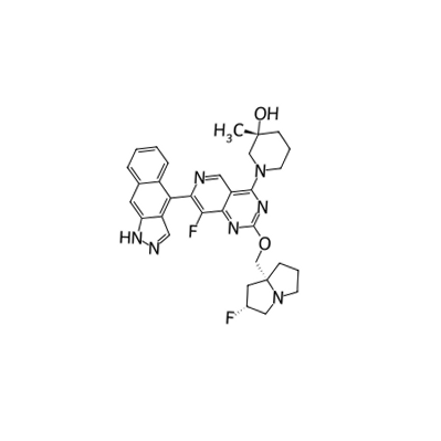 C[C@@]1(O)CCCN(c2nc(OC[C@]34CCCN3C[C@H](F)C4)nc3c(F)c(-c4c5ccccc5cc5[nH]ncc45)ncc23)C1